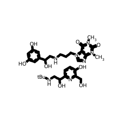 CC(C)(C)NCC(O)c1ccc(O)c(CO)n1.Cn1c(=O)c2c(ncn2CCCNCC(O)c2cc(O)cc(O)c2)n(C)c1=O